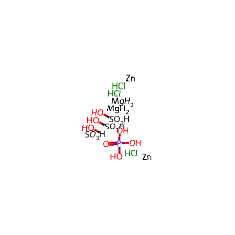 Cl.Cl.Cl.O=P(O)(O)O.O=S(=O)(O)O.O=S(=O)(O)O.O=S(=O)(O)O.[MgH2].[MgH2].[Zn].[Zn]